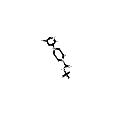 CC(C)(C)OC(=O)N1CCN(c2cncc(I)c2)CC1